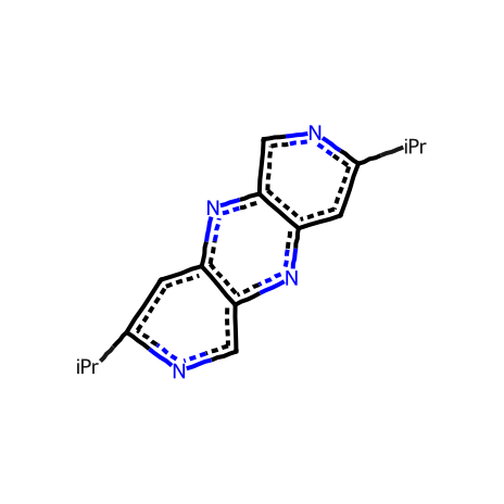 CC(C)c1cc2nc3cnc(C(C)C)cc3nc2cn1